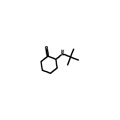 CC(C)(C)NC1CCCCC1=O